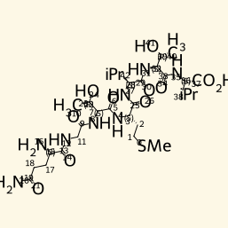 CSCC[C@H](NC(=O)[C@@H](NC(=O)CNC(=O)[C@@H](N)CCC(N)=O)[C@@H](C)O)C(=O)N[C@H](C(=O)N[C@H](C(=O)N[C@H](C(=O)O)C(C)C)[C@@H](C)O)C(C)C